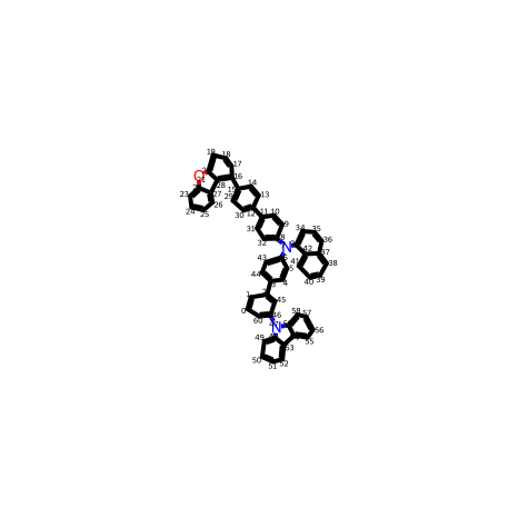 c1cc(-c2ccc(N(c3ccc(-c4ccc(-c5cccc6oc7ccccc7c56)cc4)cc3)c3cccc4ccccc34)cc2)cc(-n2c3ccccc3c3ccccc32)c1